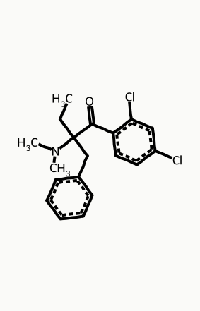 CCC(Cc1ccccc1)(C(=O)c1ccc(Cl)cc1Cl)N(C)C